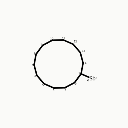 [Sb][CH]1CCCCCCCCCCCCC1